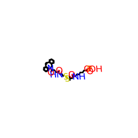 CC(C)(CC(=O)NCCCCCCOP(C)(=O)O)SSCCNC(=O)CCC(=O)N1Cc2ccccc2C#Cc2ccccc21